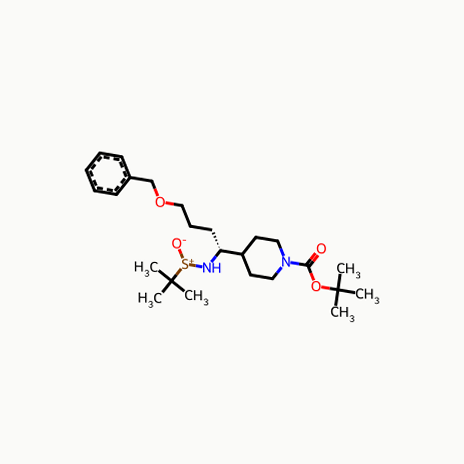 CC(C)(C)OC(=O)N1CCC([C@@H](CCCOCc2ccccc2)N[S+]([O-])C(C)(C)C)CC1